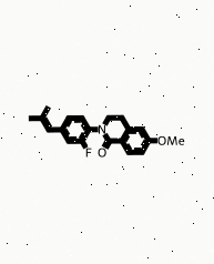 COc1ccc2c(c1)CCN(c1ccc(C=C(C)C)cc1F)C2=O